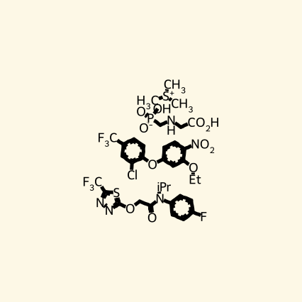 CC(C)N(C(=O)COc1nnc(C(F)(F)F)s1)c1ccc(F)cc1.CCOc1cc(Oc2ccc(C(F)(F)F)cc2Cl)ccc1[N+](=O)[O-].C[S+](C)C.O=C(O)CNCP(=O)([O-])O